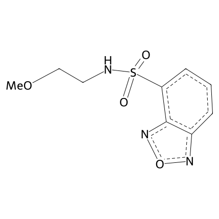 COCCNS(=O)(=O)c1cccc2nonc12